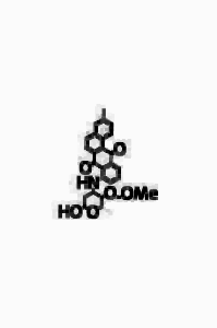 COCO[C@H]1[C@H](C)OC(O)C[C@H]1Nc1cccc2c1C(=O)c1ccc3cc(C)ccc3c1C2=O